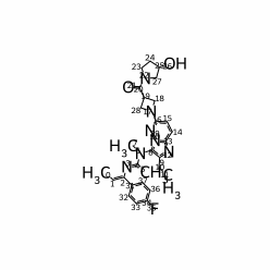 C/C=C(\N=C(/C)N(C)c1c(CC)nc2ccc(N3CC(C(=O)N4CCC(O)C4)C3)nn12)c1ccc(F)cc1